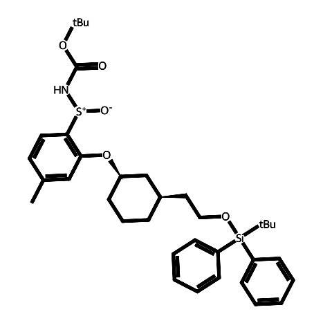 Cc1ccc([S+]([O-])NC(=O)OC(C)(C)C)c(O[C@@H]2CCC[C@H](CCO[Si](c3ccccc3)(c3ccccc3)C(C)(C)C)C2)c1